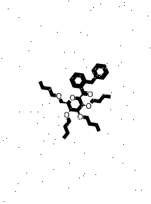 CCCCOC[C@H]1O[C@@H](C(=O)c2ccccc2Cc2ccccc2)[C@H](OCCCC)[C@@H](OCCCC)[C@@H]1OCCCC